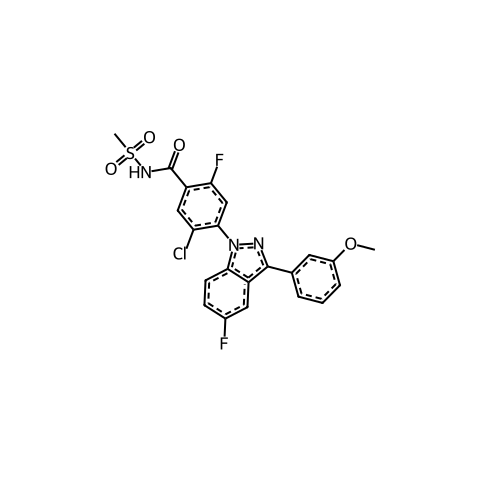 COc1cccc(-c2nn(-c3cc(F)c(C(=O)NS(C)(=O)=O)cc3Cl)c3ccc(F)cc23)c1